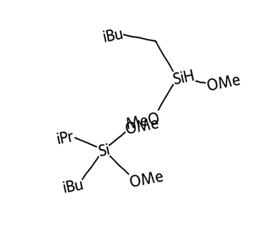 CCC(C)C[SiH](OC)OC.CCC(C)[Si](OC)(OC)C(C)C